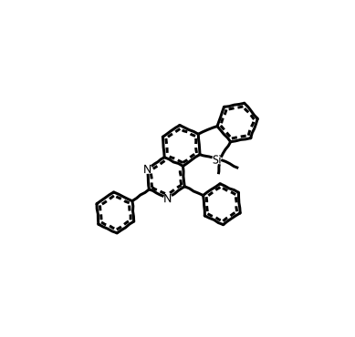 C[Si]1(C)c2ccccc2-c2ccc3nc(-c4ccccc4)nc(-c4ccccc4)c3c21